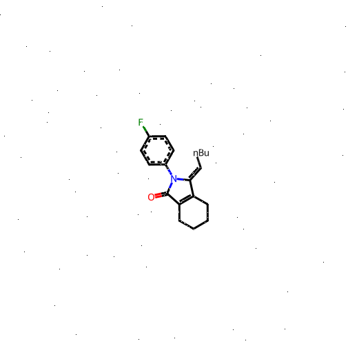 CCCCC=C1C2=C(CCCC2)C(=O)N1c1ccc(F)cc1